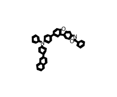 c1ccc(-c2nc3cc4oc5ccc(-c6ccc(N(c7ccccc7)c7ccc(-c8ccc9ccccc9c8)cc7)cc6)cc5c4cc3o2)cc1